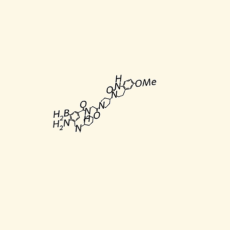 Bc1cc(C(=O)NCC(=O)N2CCC(N3CCc4cc(OC)ccc4NC3=O)CC2)cc(CN(C)C2CCCCC2)c1N